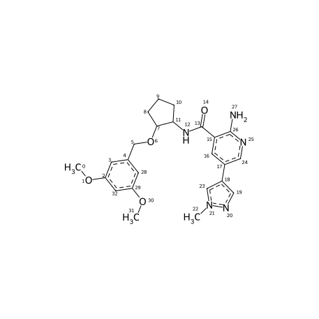 COc1cc(COC2CCCC2NC(=O)c2cc(-c3cnn(C)c3)cnc2N)cc(OC)c1